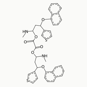 CNC(CC(Oc1cccc2ccccc12)c1ccsc1)OC(=O)C(=O)OC(CC(Oc1cccc2ccccc12)c1ccsc1)NC